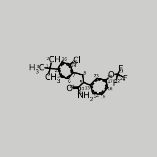 CC(C)(C)c1ccc(CC(C(N)=O)c2cccc(OC(F)(F)F)c2)c(Cl)c1